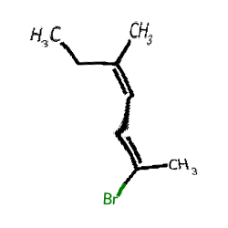 CC/C(C)=C\C=C(/C)Br